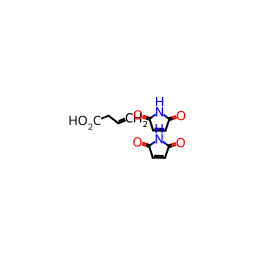 C=CCC(=O)O.O=C1C=CC(=O)N1.O=C1C=CC(=O)N1